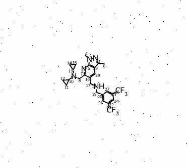 Cc1nn(C)c2nc(CN(C3CC3)C3CC3)c(CNCc3cc(C(F)(F)F)cc(C(F)(F)F)c3)cc12